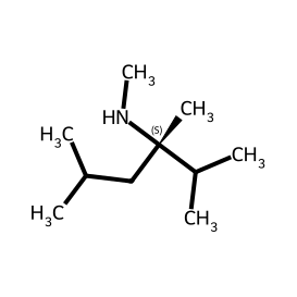 CN[C@@](C)(CC(C)C)C(C)C